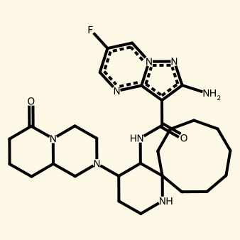 Nc1nn2cc(F)cnc2c1C(=O)NC1C(N2CCN3C(=O)CCCC3C2)CCNC12CCCCCCCC2